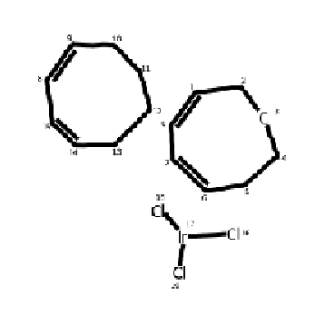 C1=CCCCCC=C1.C1=CCCCCC=C1.[Cl][Ir]([Cl])[Cl]